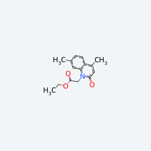 CCOC(=O)Cn1c(=O)cc(C)c2ccc(C)cc21